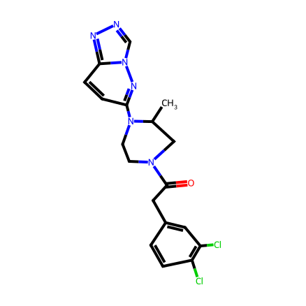 CC1CN(C(=O)Cc2ccc(Cl)c(Cl)c2)CCN1c1ccc2nncn2n1